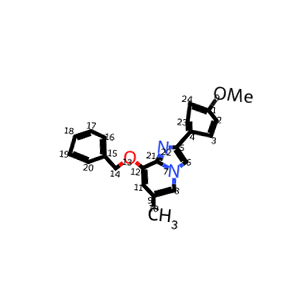 COc1ccc(-c2cn3cc(C)cc(OCc4ccccc4)c3n2)cc1